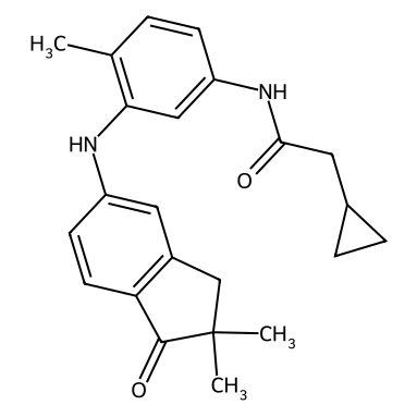 Cc1ccc(NC(=O)CC2CC2)cc1Nc1ccc2c(c1)CC(C)(C)C2=O